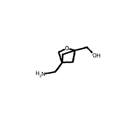 NCC12COC(CO)(C1)C2